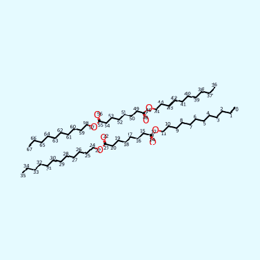 CCCCCCCCCCCCOC(=O)CCCCCCC(=O)OCCCCCCCCCCCC.CCCCCCCCCCOC(=O)CCCCCCC(=O)OCCCCCCCCCC